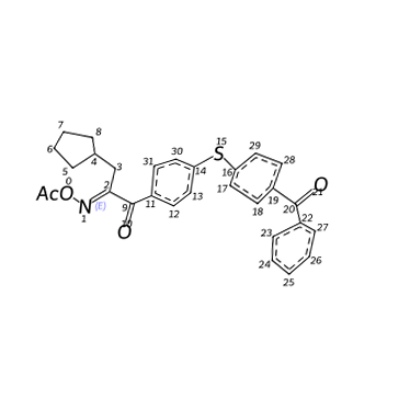 CC(=O)O/N=C(\CC1CCCC1)C(=O)c1ccc(Sc2ccc(C(=O)c3ccccc3)cc2)cc1